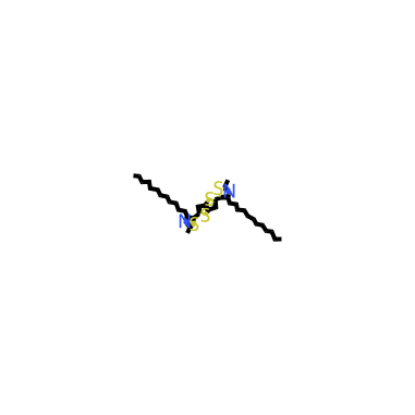 CCCCCCCCCCCCc1nc(C)sc1-c1cc2sc(-c3sc(C)nc3CCCCCCCCCCCC)cc2s1